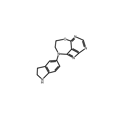 c1nc2c3c(n1)OCCN(c1ccc4c(c1)CCN4)C3=N2